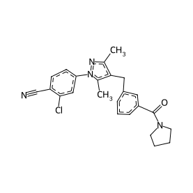 Cc1nn(-c2ccc(C#N)c(Cl)c2)c(C)c1Cc1cccc(C(=O)N2CCCC2)c1